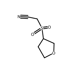 N#CCS(=O)(=O)C1CCOC1